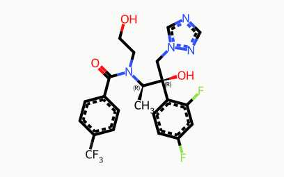 C[C@@H](N(CCO)C(=O)c1ccc(C(F)(F)F)cc1)[C@](O)(Cn1cncn1)c1ccc(F)cc1F